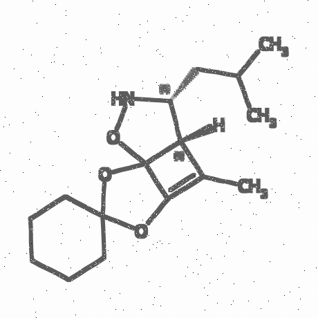 CC1=C2OC3(CCCCC3)OC23ON[C@H](CC(C)C)[C@H]13